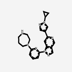 c1cc(N2CCCNCC2)nc(-n2ncc3cnc(-c4cnn(C5CC5)c4)cc32)c1